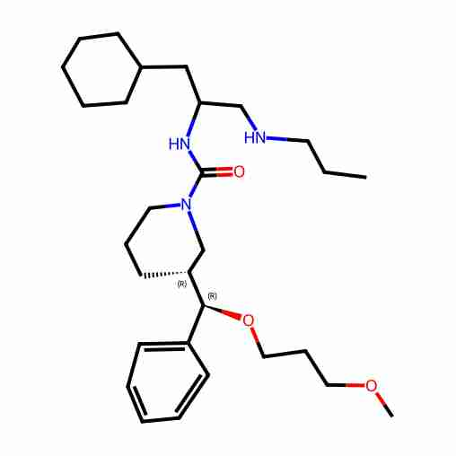 CCCNCC(CC1CCCCC1)NC(=O)N1CCC[C@@H]([C@@H](OCCCOC)c2ccccc2)C1